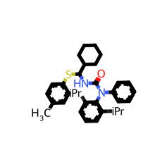 Cc1ccc(SC(NC(=O)N(c2ccccc2)c2c(C(C)C)cccc2C(C)C)C2CCCCC2)cc1